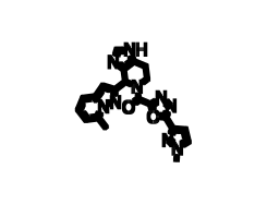 Cc1cccc2cc(C3c4nc[nH]c4CCN3C(=O)c3nnc(-c4ccn(C)n4)o3)nn12